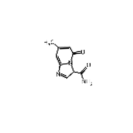 Cc1cc2n(c(=O)c1)C(C(N)=O)C=N2